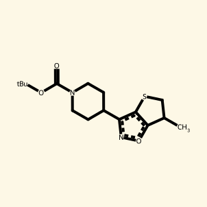 CC1CSc2c(C3CCN(C(=O)OC(C)(C)C)CC3)noc21